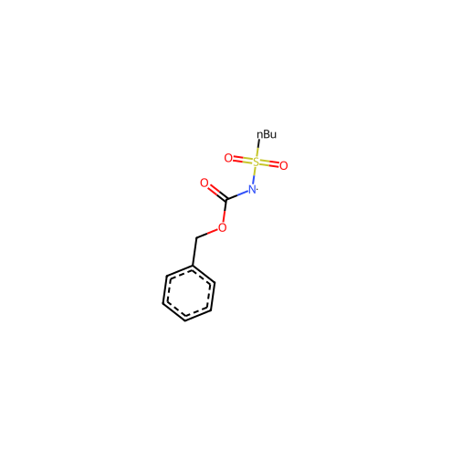 CCCCS(=O)(=O)[N]C(=O)OCc1ccccc1